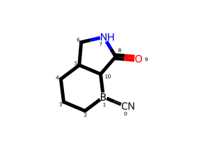 N#CB1CCCC2CNC(=O)C12